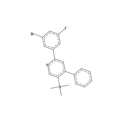 C[Si](C)(C)c1cnc(-c2cc(F)cc(Br)c2)cc1-c1ccccc1